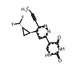 CC#Cc1nnc(-c2c[nH]c(=O)[nH]c2=O)cc1[C@H]1C[C@@H]1C(F)F